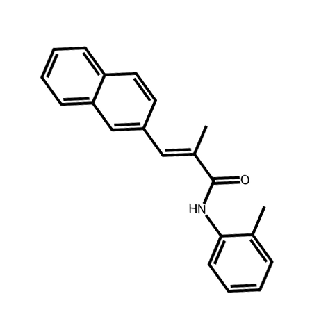 C/C(=C\c1ccc2ccccc2c1)C(=O)Nc1ccccc1C